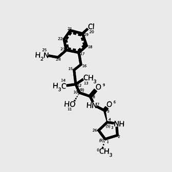 C[C@H]1CN[C@H](C(=O)NC(=O)[C@H](O)C(C)(C)CCc2cc(Cl)ccc2CN)C1